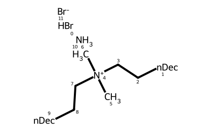 Br.CCCCCCCCCCCC[N+](C)(C)CCCCCCCCCCCC.N.[Br-]